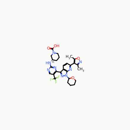 Cc1noc(C)c1-c1ccc2c(-c3nc(N[C@H]4CCCN(C(=O)O)C4)ncc3C(F)(F)F)nn(C3CCCCO3)c2n1